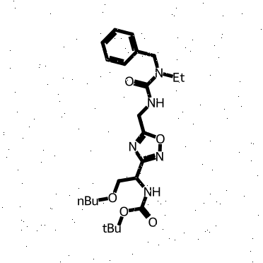 CCCCOCC(NC(=O)OC(C)(C)C)c1noc(CNC(=O)N(CC)Cc2ccccc2)n1